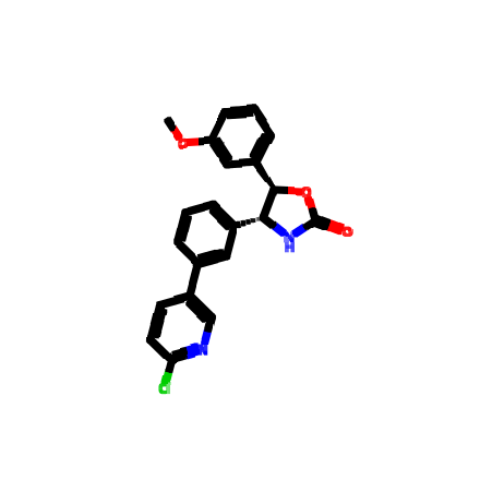 COc1cccc([C@H]2OC(=O)N[C@@H]2c2cccc(-c3ccc(Cl)nc3)c2)c1